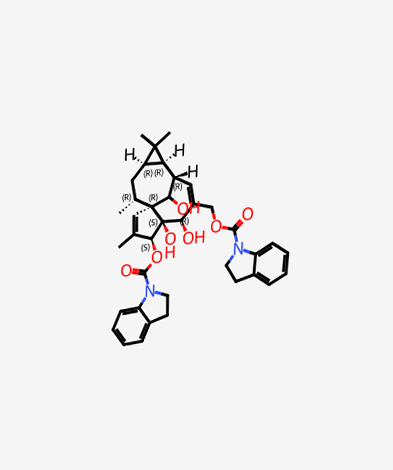 CC1=C[C@]23C(O)[C@@H](C=C(COC(=O)N4CCc5ccccc54)[C@@H](O)[C@]2(O)[C@H]1OC(=O)N1CCc2ccccc21)[C@H]1[C@@H](C[C@H]3C)C1(C)C